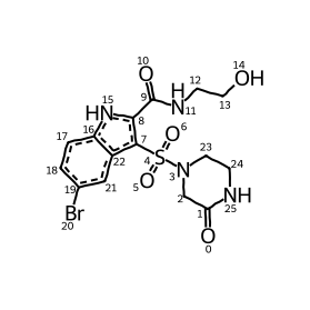 O=C1CN(S(=O)(=O)c2c(C(=O)NCCO)[nH]c3ccc(Br)cc23)CCN1